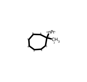 CC[CH]C1(C)CCCCCCC1